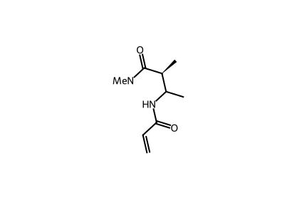 C=CC(=O)NC(C)[C@H](C)C(=O)NC